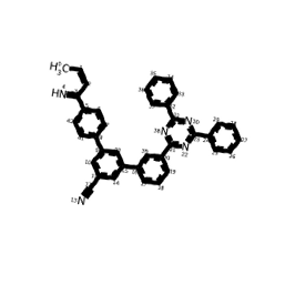 C/C=C\C(=N)c1ccc(-c2cc(C#N)cc(-c3cccc(-c4nc(-c5ccccc5)nc(-c5ccccc5)n4)c3)c2)cc1